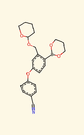 N#Cc1ccc(Oc2ccc(B3OCCCO3)c(COC3CCCCO3)c2)cc1